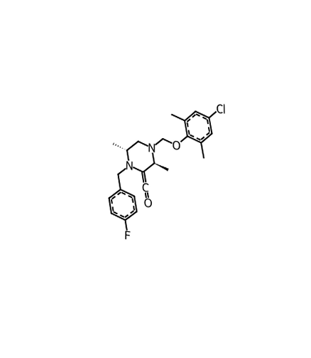 Cc1cc(Cl)cc(C)c1OCN1C[C@@H](C)N(Cc2ccc(F)cc2)C(=C=O)[C@@H]1C